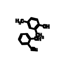 CC(C)(C)c1ccccc1O.Cc1ccc(O)c(C)c1